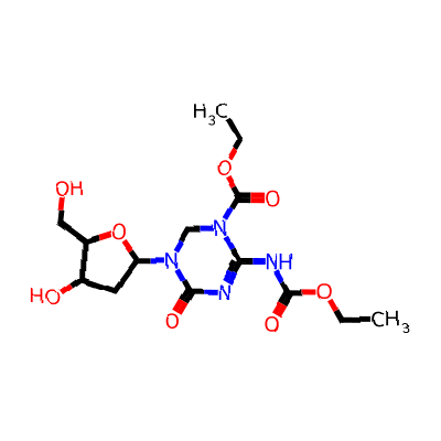 CCOC(=O)NC1=NC(=O)N(C2CC(O)C(CO)O2)CN1C(=O)OCC